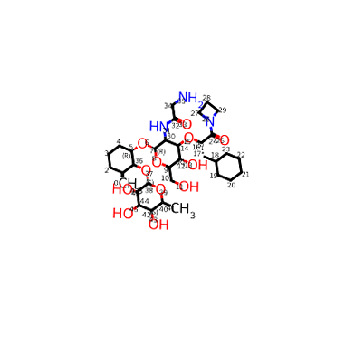 CC1CCC[C@@H](O[C@@H]2OC(CO)[C@H](O)C(O[C@@H](CC3CCCCC3)C(=O)N3CCC3)C2NC(=O)CN)C1O[C@@H]1OC(C)[C@@H](O)C(O)C1O